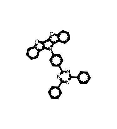 c1ccc(-c2nc(-c3ccccc3)nc(-c3ccc(-n4c5c6ccccc6oc5c5oc6ccccc6c54)cc3)n2)cc1